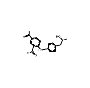 CC(=O)c1ccc(Nc2ccc(C[C@H](C)O)cc2)c([N+](=O)[O-])c1